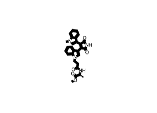 COC(=O)[C@H](C)NC(=O)CCn1cc(C2=C(c3cn(C)c4ccccc34)C(=O)NC2=O)c2ccccc21